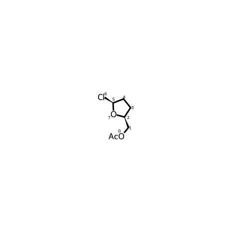 CC(=O)OC[C@@H]1CC[C@H](Cl)O1